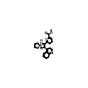 COC(=O)c1cccc(C2N[N+]3(CCCC3)OC2c2ccnc3ccccc23)n1